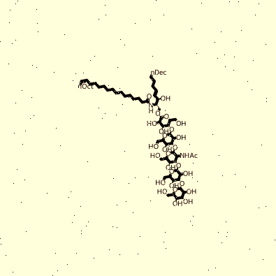 CCCCCCCC/C=C\CCCCCCCCCCCCCC(=O)N[C@@H](CO[C@@H]1OC(CO)[C@@H](O[C@@H]2OC(CO)[C@H](O)[C@H](O[C@@H]3OC(CO)[C@@H](O)[C@H](O[C@@H]4OC(CO)[C@H](O)[C@H](O[C@H]5OC(CO)[C@H](O)[C@H](O)C5O)C4O)C3NC(C)=O)C2O)[C@H](O)C1O)[C@H](O)/C=C/CCCCCCCCCCCCC